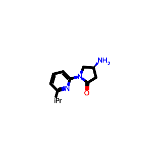 CC(C)c1cccc(N2C[C@@H](N)CC2=O)n1